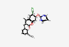 Cc1c(Cc2cccc([N+](=O)[O-])c2)c(=O)oc2cc(Oc3ncccn3)c(Cl)cc12